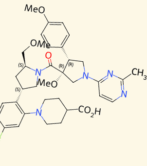 COC[C@@H]1C[C@@H](c2ccc(F)cc2N2CCC(C(=O)O)CC2)CN1C(=O)[C@]1(OC)CN(c2ccnc(C)n2)C[C@H]1c1ccc(OC)cc1